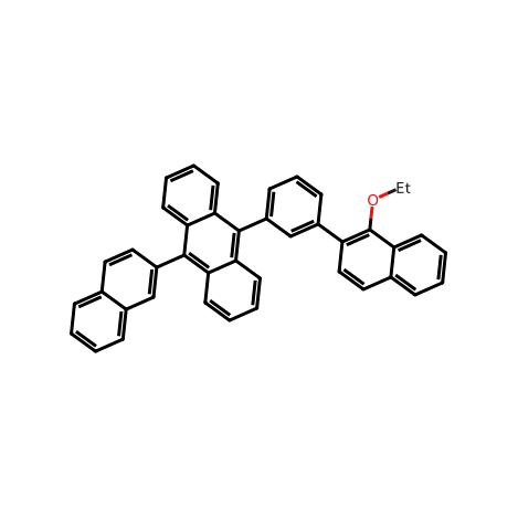 CCOc1c(-c2cccc(-c3c4ccccc4c(-c4ccc5ccccc5c4)c4ccccc34)c2)ccc2ccccc12